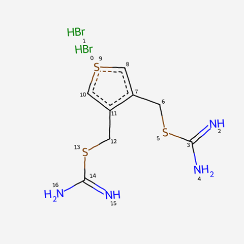 Br.Br.N=C(N)SCc1cscc1CSC(=N)N